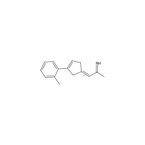 CC(=N)/C=C1\CC=C(c2ccccc2C)C1